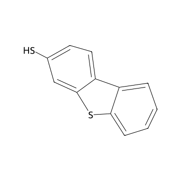 Sc1ccc2c(c1)sc1ccccc12